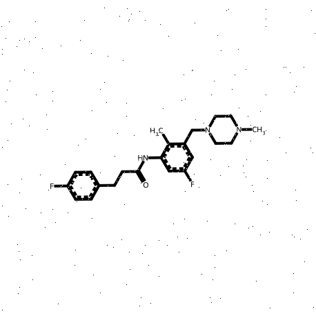 Cc1c(CN2CCN(C)CC2)cc(F)cc1NC(=O)CCc1ccc(F)cc1